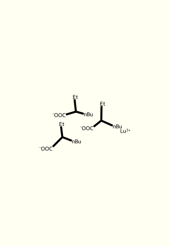 CCCCC(CC)C(=O)[O-].CCCCC(CC)C(=O)[O-].CCCCC(CC)C(=O)[O-].[Lu+3]